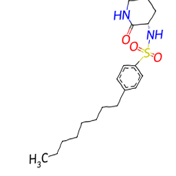 CCCCCCCCc1ccc(S(=O)(=O)N[C@H]2CCCNC2=O)cc1